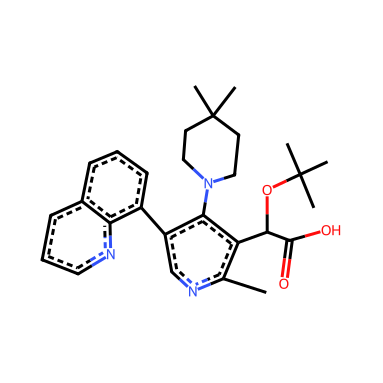 Cc1ncc(-c2cccc3cccnc23)c(N2CCC(C)(C)CC2)c1C(OC(C)(C)C)C(=O)O